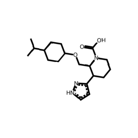 CC(C)C1CCC(OCC2C(c3cc[nH]n3)CCCN2C(=O)O)CC1